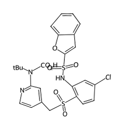 CC(C)(C)N(C(=O)O)c1cc(CS(=O)(=O)c2ccc(Cl)cc2NS(=O)(=O)c2cc3ccccc3o2)ccn1